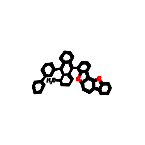 CC1C=CC=C2C(c3cccc4c3oc3ccc5c6ccccc6oc5c34)=c3ccccc3=C(c3cccc(-c4ccccc4)c3)C21